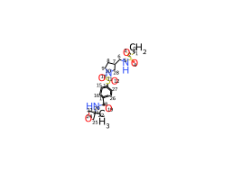 C=CS(=O)(=O)NCC1CCN(S(=O)(=O)c2ccc(C(=O)NC3(C)COC3)cc2)C1